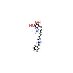 NC1c2cc(O)c(O)cc2CCC1CCCCCCNCCc1ccccc1